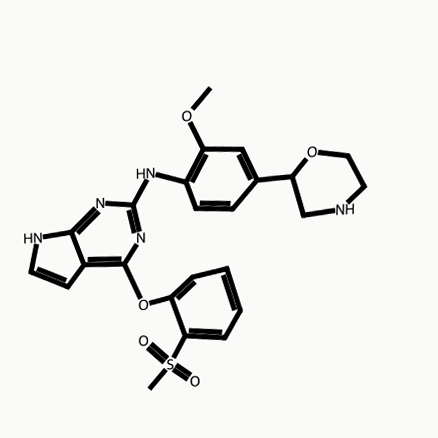 COc1cc(C2CNCCO2)ccc1Nc1nc(Oc2ccccc2S(C)(=O)=O)c2cc[nH]c2n1